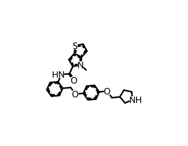 Cn1c(C(=O)Nc2ccccc2COc2ccc(OCC3CCNC3)cc2)cc2sccc21